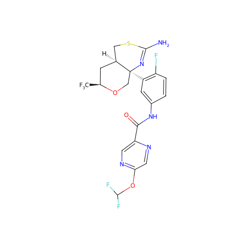 NC1=N[C@@]2(c3cc(NC(=O)c4cnc(OC(F)F)cn4)ccc3F)CO[C@@H](C(F)(F)F)C[C@H]2CS1